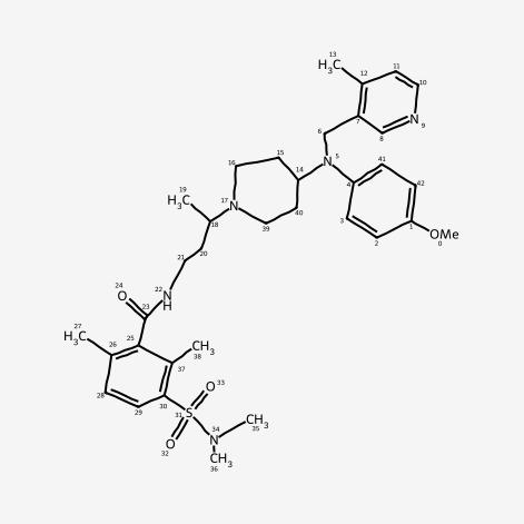 COc1ccc(N(Cc2cnccc2C)C2CCN(C(C)CCNC(=O)c3c(C)ccc(S(=O)(=O)N(C)C)c3C)CC2)cc1